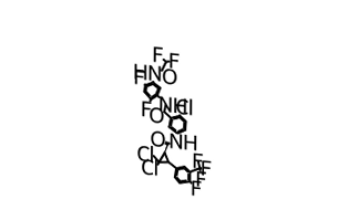 O=C(Nc1cc(NC(=O)C(F)F)c(F)cc1F)c1cc(NC(=O)[C@H]2C(c3ccc(F)c(C(F)(F)F)c3)C2(Cl)Cl)ccc1Cl